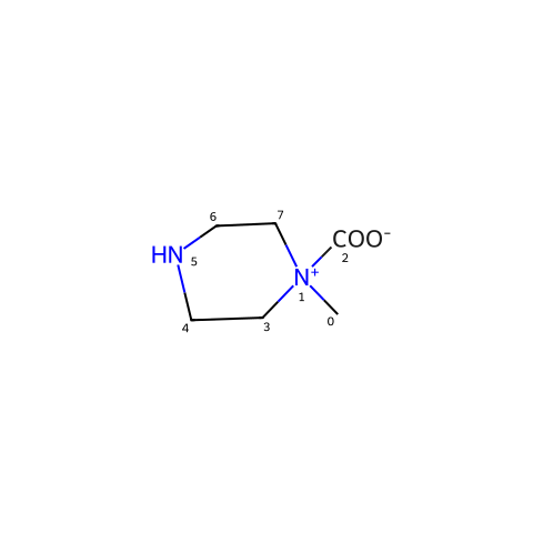 C[N+]1(C(=O)[O-])CCNCC1